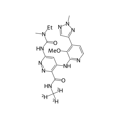 [2H]C([2H])([2H])NC(=O)c1nnc(NC(=O)N(C)CC)cc1Nc1nccc(-c2cnn(C)n2)c1OC